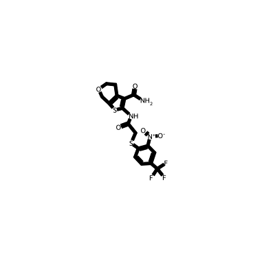 NC(=O)c1c(NC(=O)CSc2ccc(C(F)(F)F)cc2[N+](=O)[O-])sc2c1CCOC2